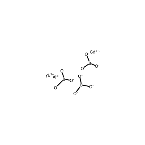 [Al+3].[Gd+3].[O-]B([O-])[O-].[O-]B([O-])[O-].[O-]B([O-])[O-].[Yb+3]